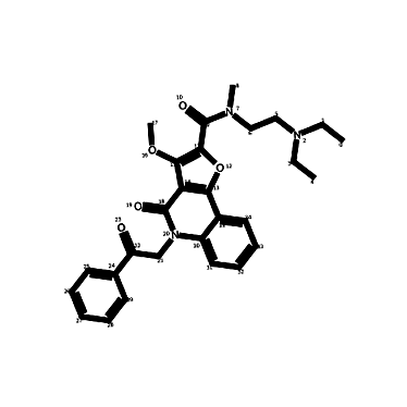 CCN(CC)CCN(C)C(=O)c1oc2c(c1OC)c(=O)n(CC(=O)c1ccccc1)c1ccccc21